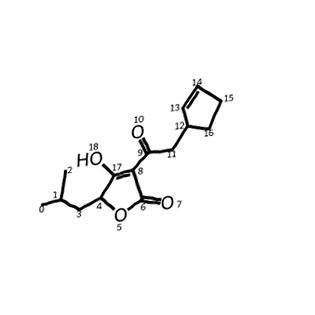 CC(C)CC1OC(=O)C(C(=O)CC2C=CCC2)=C1O